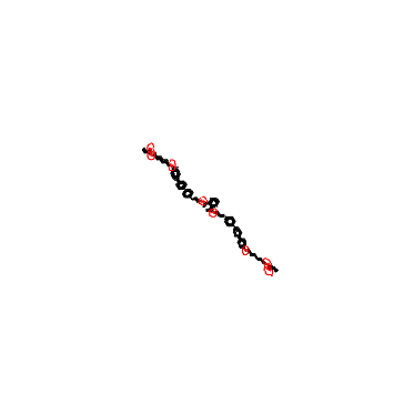 C=CC(=O)OCCCCCCOc1ccc(-c2ccc([C@H]3CC[C@H](CCCOC(C)c4ccccc4C(C)OCCC[C@H]4CC[C@H](c5ccc(-c6ccc(OCCCCCCOC(=O)C=C)cc6)cc5)CC4)CC3)cc2)cc1